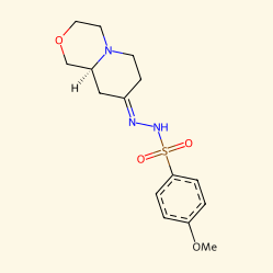 COc1ccc(S(=O)(=O)N/N=C2\CCN3CCOC[C@@H]3C2)cc1